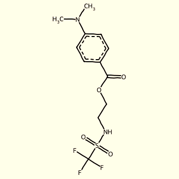 CN(C)c1ccc(C(=O)OCCNS(=O)(=O)C(F)(F)F)cc1